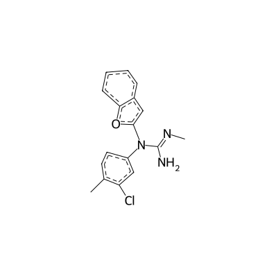 CN=C(N)N(c1ccc(C)c(Cl)c1)c1cc2ccccc2o1